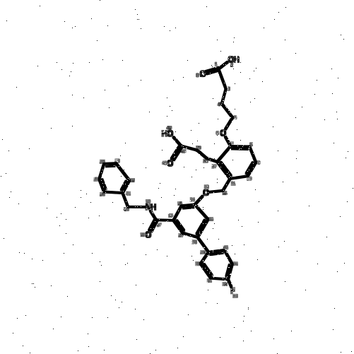 O=C(O)CCCOc1cccc(COc2cc(C(=O)NCc3ccccc3)cc(-c3ccc(F)cc3)c2)c1CCC(=O)O